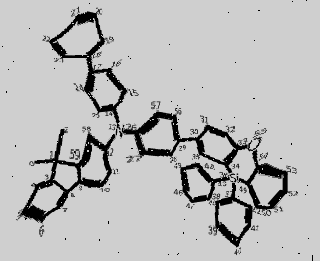 CC1(C)c2ccccc2-c2ccc(N(c3ccc(-c4ccccc4)cc3)c3ccc(-c4ccc5c(c4)[Si](c4ccccc4)(c4ccccc4)c4ccccc4O5)cc3)cc21